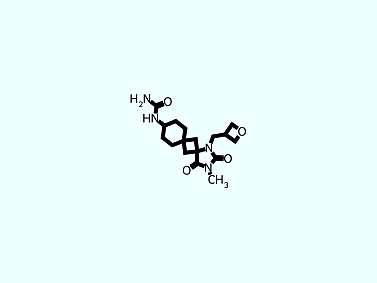 CN1C(=O)N(CC2COC2)C2(CC3(CCC(NC(N)=O)CC3)C2)C1=O